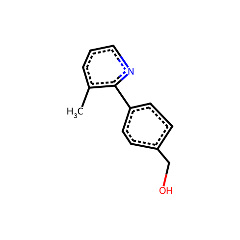 Cc1cccnc1-c1ccc(CO)cc1